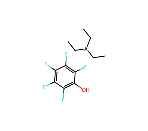 C[CH2][Al]([CH2]C)[CH2]C.Oc1c(F)c(F)c(F)c(F)c1F